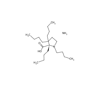 CCCCN1CCC(CCCC)(CCCC)[C@@]1(CCCC)C(=O)O.N